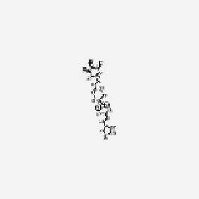 Fc1cc(CCC2CCC(C3OCC(CCC4CCCC4)CO3)CC2)cc(F)c1F